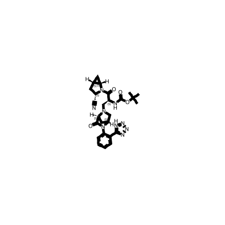 CC(C)(C)OC(=O)N[C@@H](CN1C[C@@H]2C[C@H]1C(=O)N2c1ccccc1-c1nnn[nH]1)C(=O)N1[C@H](C#N)C[C@@H]2C[C@@H]21